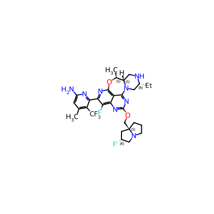 CC[C@@H]1CN2c3nc(OC[C@@]45CCCN4C[C@H](F)C5)nc4c(F)c(-c5nc(N)cc(C)c5C(F)(F)F)nc(c34)O[C@@H](C)[C@@H]2CN1